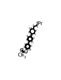 CC(C)CCC1CCC(c2ccc(-c3ccc(OC(=O)C(F)(F)F)cc3)cc2)CC1